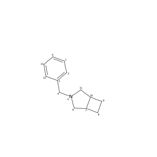 c1ccc(CN2CC3CCC3C2)cc1